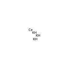 [Ce].[KH].[KH].[KH]